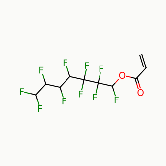 C=CC(=O)OC(F)C(F)(F)C(F)(F)C(F)C(F)C(F)C(F)F